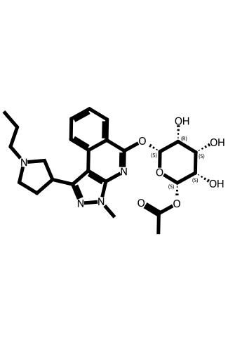 CCCN1CCC(c2nn(C)c3nc(O[C@H]4O[C@@H](OC(C)=O)[C@@H](O)[C@@H](O)[C@H]4O)c4ccccc4c23)C1